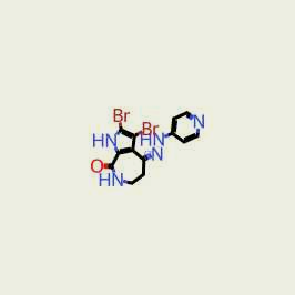 O=C1NCC/C(=N/Nc2ccncc2)c2c1[nH]c(Br)c2Br